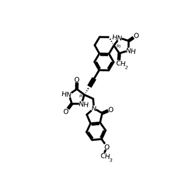 C=C1NC(=O)N[C@@]12CCCc1cc(C#C[C@]3(CN4Cc5ccc(OC)cc5C4=O)NC(=O)NC3=O)ccc12